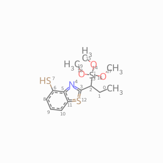 CCC(c1nc2c(S)cccc2s1)[Si](OC)(OC)OC